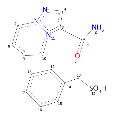 NC(=O)c1cnc2ccccn12.O=S(=O)(O)Cc1ccccc1